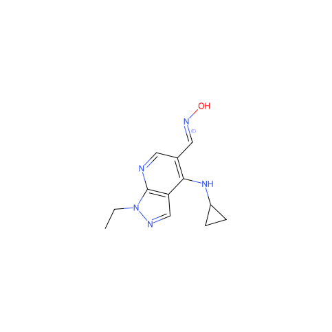 CCn1ncc2c(NC3CC3)c(/C=N/O)cnc21